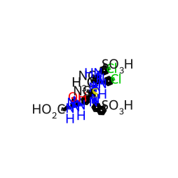 Cc1c(C#N)c(Nc2ccc(Cl)c(S(=O)(=O)O)c2)nc(Nc2ccc(Cl)cc2)c1N=Nc1sc(N=Nc2ccc3cccc(S(=O)(=O)O)c3c2)c(-c2ccc(Nc3nc(O)nc(NCCC(=O)O)n3)cc2)c1C#N